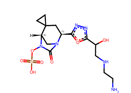 NCCNCC(O)c1nnc([C@@H]2CC3(CC3)[C@@H]3CN2C(=O)N3OS(=O)(=O)O)o1